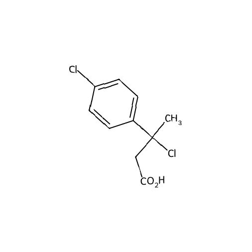 CC(Cl)(CC(=O)O)c1ccc(Cl)cc1